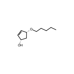 CCCCCO[C@H]1C=C[C@@H](O)C1